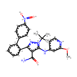 COc1cc(Nc2c(C(N)=O)c(-c3ccccc3-c3ccc([N+](=O)[O-])cc3)nn2C(C)(C)C)ccn1